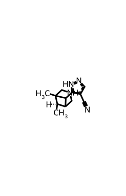 C[C@@H]1C2CNCC1(C)C2c1[nH]ncc1C#N